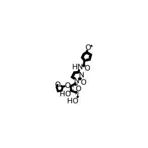 COc1ccc(C(=O)Nc2ccn([C@@H]3O[C@H](CO)[C@@H](O)[C@H]3OC3CCCO3)c(=O)n2)cc1